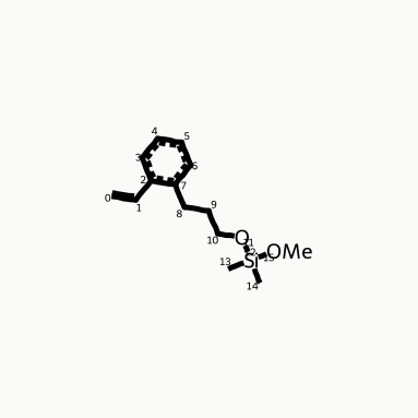 C=Cc1ccccc1CCCO[Si](C)(C)OC